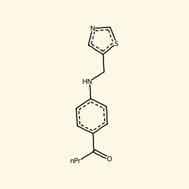 CCCC(=O)c1ccc(NCc2cncs2)cc1